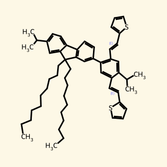 CCCCCCCCCCC1(CCCCCCCCCC)c2cc(-c3cc(/C=C/c4cccs4)c(C(C)C)cc3/C=C/c3cccs3)ccc2-c2ccc(C(C)C)cc21